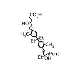 CCCCCC(O)(/C=C/c1ccc(C(CC)(CC)c2ccc(OCC(O)CCC(=O)O)c(C)c2)cc1C)CC